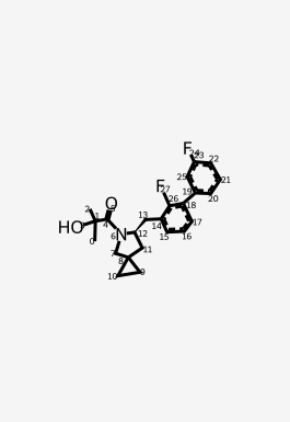 CC(C)(O)C(=O)N1CC2(CC2)C[C@@H]1Cc1cccc(-c2cccc(F)c2)c1F